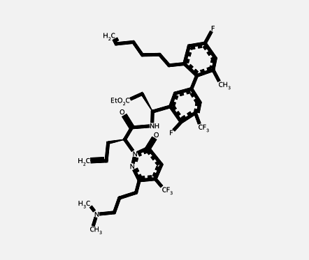 C=CCCCCc1cc(F)cc(C)c1-c1cc([C@H](CC(=O)OCC)NC(=O)[C@H](CC=C)n2nc(CCCN(C)C)c(C(F)(F)F)cc2=O)c(F)c(C(F)(F)F)c1